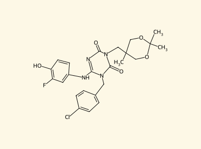 CC1(Cn2c(=O)nc(Nc3ccc(O)c(F)c3)n(Cc3ccc(Cl)cc3)c2=O)COC(C)(C)OC1